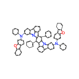 C1=CC(c2c3c4cccc5c6ccc(N(c7ccccc7)c7ccc8c9c(oc8c7)C=CCC9)cc6n(c3c(-c3ccccc3)c3c6cccc7c8ccc(N(c9ccccc9)c9ccc%10c(c9)oc9ccccc9%10)cc8n(c23)c76)c54)=CCC1